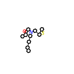 c1cc(-c2cccc3sc4ccccc4c23)cc(N(c2ccc(-c3ccc(-c4ccc5ccccc5c4)cc3)cc2)c2cccc3oc4c5ccccc5ccc4c23)c1